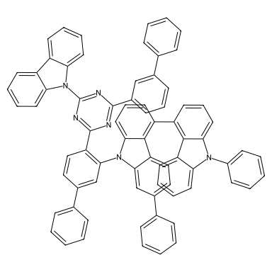 c1ccc(-c2cccc(-c3nc(-c4ccc(-c5ccccc5)cc4-n4c5cc(-c6ccccc6)ccc5c5c(-c6cccc7c6c6ccccc6n7-c6ccccc6)cccc54)nc(-n4c5ccccc5c5ccccc54)n3)c2)cc1